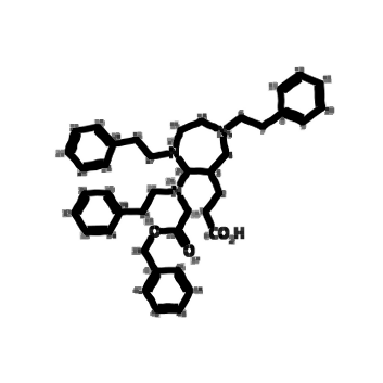 O=C(O)CCC1CN(CCc2ccccc2)CCN(CCc2ccccc2)C1N(CCc1ccccc1)CC(=O)OCc1ccccc1